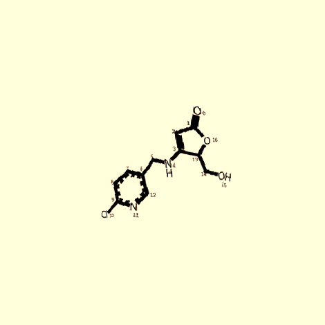 O=C1C=C(NCc2ccc(Cl)nc2)C(CO)O1